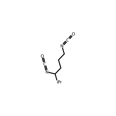 CC(C)C(CCCN=C=O)N=C=O